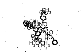 COc1c(C[C@H](NC(=O)C(NC(=O)C2CCN(S(C)(=O)=O)CC2)c2csc(NC(=O)OCc3ccccc3)n2)B2OC3CC4CC(C4(C)C)[C@]3(C)O2)cccc1C(=O)OC(C)(C)C